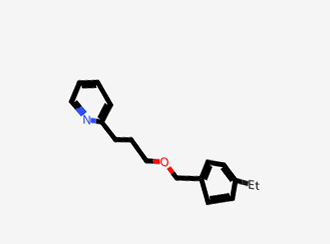 CCc1ccc(COCCCc2ccccn2)cc1